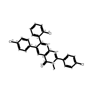 Cn1c(-c2ccc(Cl)cc2)nc2nc(-c3ccccc3Cl)c(-c3ccc(Cl)cc3)cc2c1=O